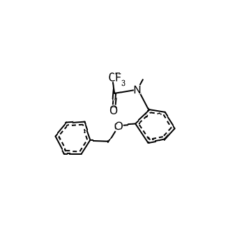 CN(C(=O)C(F)(F)F)c1ccccc1OCc1ccccc1